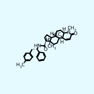 Cc1ccc(C[C@H](NC(=O)[C@H]2CC[C@H]3[C@@H]4CC[C@H]5N(C)C(=O)C=C[C@]5(C)[C@H]4CC[C@]23C)c2ccccc2)cc1